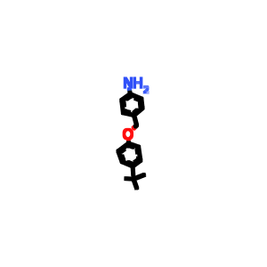 CC(C)(C)c1ccc(OCc2ccc(N)cc2)cc1